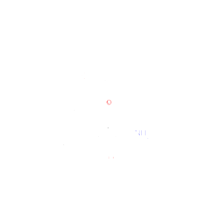 C=CC(=O)OC1C2CC3CC1CC(C2)C3C(N)=O